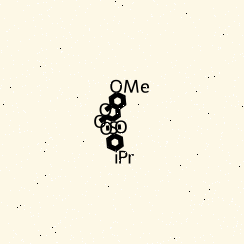 COc1ccc2cc(S(=O)(=O)c3ccc(C(C)C)cc3)c(=O)oc2c1